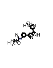 CNC(=O)/C(C#N)=C/c1cccc(-c2cnc3[nH]cc(-c4cncc(NC)c4)c3c2)c1